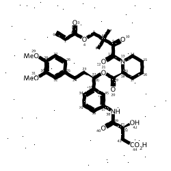 C=CC(=O)OCC(C)(C)C(=O)C(=O)N1CCCC[C@H]1C(=O)O[C@H](CCc1ccc(OC)c(OC)c1)c1cccc(NC(=O)[C@@H](O)CC(=O)O)c1